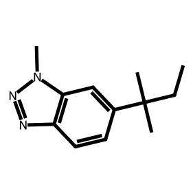 CCC(C)(C)c1ccc2nnn(C)c2c1